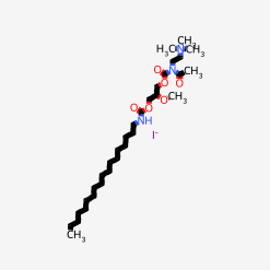 CCCCCCCCCCCCCCCCCCNC(=O)OCC(COC(=O)N(CC[N+](C)(C)C)C(C)=O)OC.[I-]